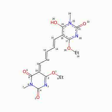 CCOC1=NC(=O)N(C)C(=O)C1=CC=CC=Cc1c(OCC)nc(=O)n(C)c1O